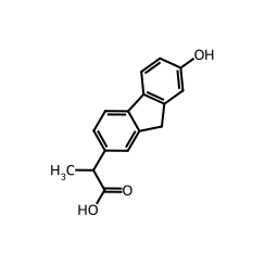 CC(C(=O)O)c1ccc2c(c1)Cc1cc(O)ccc1-2